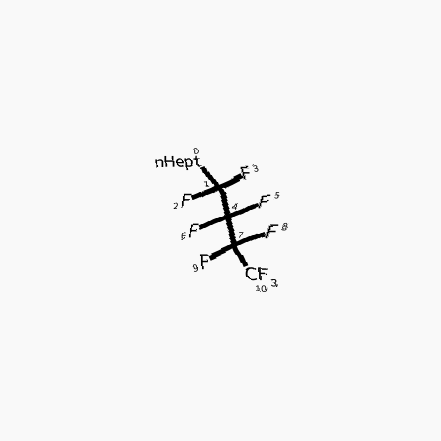 CCCCCCCC(F)(F)C(F)(F)C(F)(F)C(F)(F)F